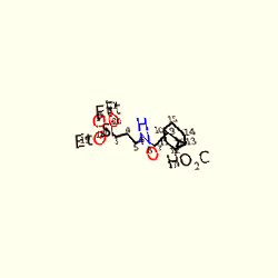 CCO[Si](CCCNC(=O)C1C2CCC(CC2)C1C(=O)O)(OCC)OCC